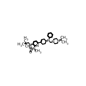 CC(C)N1CCN(CN(c2ccccc2)C2CC=C(c3ccc(NCC(C)(C)C)c(N(C)N=O)n3)CC2)CC1